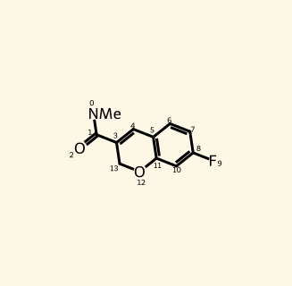 CNC(=O)C1=Cc2ccc(F)cc2OC1